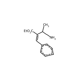 CCOC(=O)C(=Cc1ccccc1)C(C)N